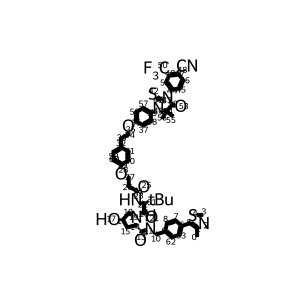 Cc1ncsc1-c1ccc(CNC(=O)[C@@H]2C[C@@H](O)CN2C(=O)[C@@H](NC(=O)CCOc2ccc(CCOc3ccc(N4C(=S)N(c5ccc(C#N)c(C(F)(F)F)c5)C(=O)C4(C)C)cc3)cc2)C(C)(C)C)cc1